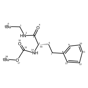 CC(C)(C)CNC(=O)[C@H](CCc1ccccc1)NC(=O)OC(C)(C)C